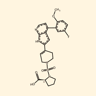 COc1ccc(F)cc1-c1ccnc2[nH]c(C3=CCN(S(=O)(=O)N4CCC[C@H]4C(=O)O)CC3)cc12